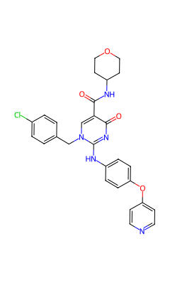 O=C(NC1CCOCC1)c1cn(Cc2ccc(Cl)cc2)c(Nc2ccc(Oc3ccncc3)cc2)nc1=O